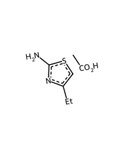 CC(=O)O.CCc1csc(N)n1